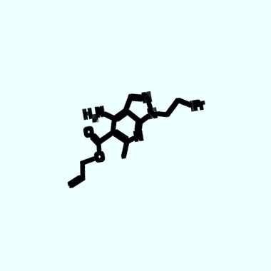 C=CCOC(=O)c1c(C)nc2c(cnn2CCC(C)C)c1N